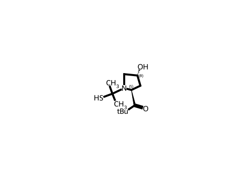 CC(C)(C)C(=O)[C@@H]1C[C@@H](O)CN1C(C)(C)S